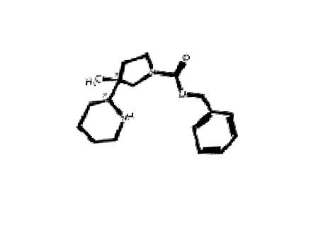 C[C@@]1([C@@H]2CCCCN2)CCN(C(=O)OCc2ccccc2)C1